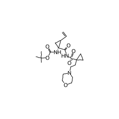 C=CC1C[C@]1(NC(=O)OC(C)(C)C)C(=O)NS(=O)(=O)C1(CCN2CCOCC2)CC1